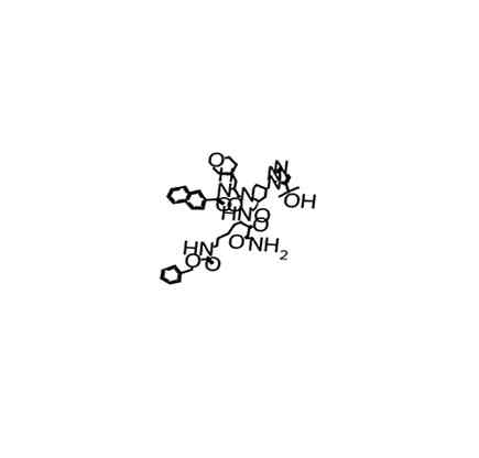 CC(C)(O)c1cnnn1[C@H]1C[C@@H](C(=O)NC(CCCCNC(=O)OCc2ccccc2)C(=O)C(N)=O)N(C(=O)C(CC2CCOCC2)NC(=O)c2ccc3ccccc3c2)C1